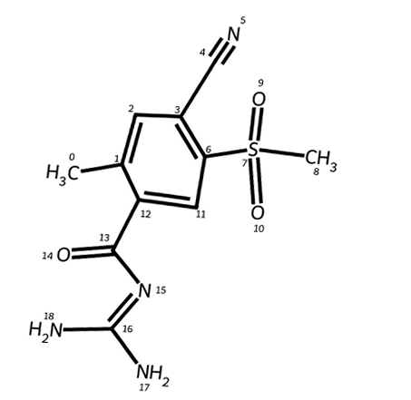 Cc1cc(C#N)c(S(C)(=O)=O)cc1C(=O)N=C(N)N